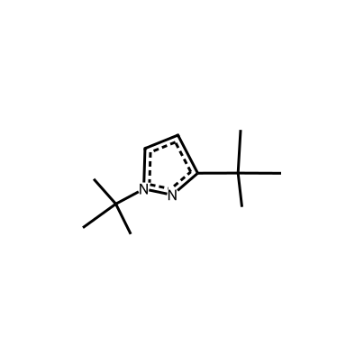 CC(C)(C)c1ccn(C(C)(C)C)n1